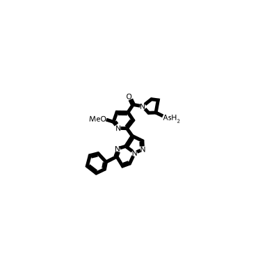 COc1cc(C(=O)N2CCC([AsH2])C2)cc(-c2cnn3ccc(-c4ccccc4)nc23)n1